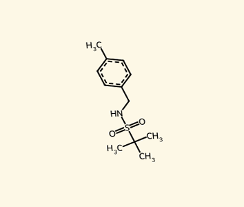 Cc1ccc(CNS(=O)(=O)C(C)(C)C)cc1